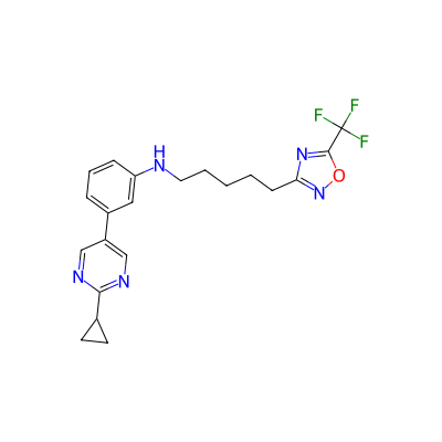 FC(F)(F)c1nc(CCCCCNc2cccc(-c3cnc(C4CC4)nc3)c2)no1